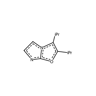 CC(C)c1oc2nccn2c1C(C)C